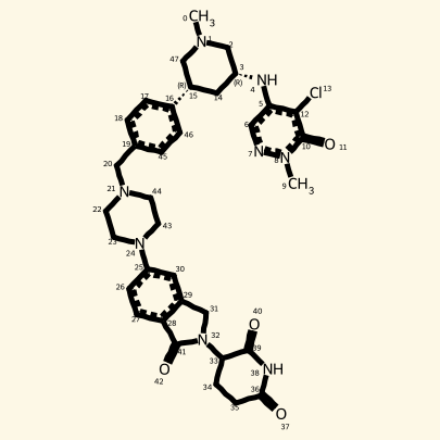 CN1C[C@H](Nc2cnn(C)c(=O)c2Cl)C[C@H](c2ccc(CN3CCN(c4ccc5c(c4)CN(C4CCC(=O)NC4=O)C5=O)CC3)cc2)C1